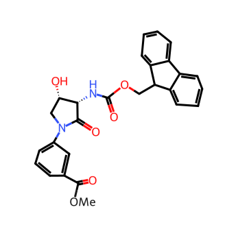 COC(=O)c1cccc(N2C[C@H](O)[C@H](NC(=O)OCC3c4ccccc4-c4ccccc43)C2=O)c1